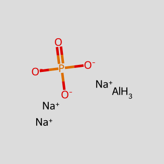 O=P([O-])([O-])[O-].[AlH3].[Na+].[Na+].[Na+]